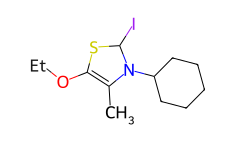 CCOC1=C(C)N(C2CCCCC2)C(I)S1